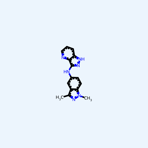 Cc1nn(C)c2ccc(Nc3n[nH]c4cccnc34)cc12